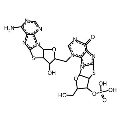 Nc1ncnc2c1nc1n2C2OC(Cn3cnc(=O)c4nc5n(c43)C3OC(CO)C(OP(=O)(O)O)C3S5)C(O)C2S1